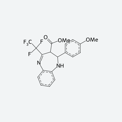 COC(=O)C1C(C(F)(F)C(F)(F)F)=Nc2ccccc2NC1c1ccc(OC)cc1